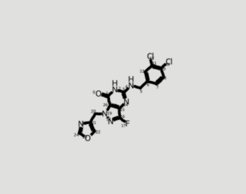 O=c1[nH]c(NCc2ccc(Cl)c(Cl)c2)nc2c(F)nn(Cc3cocn3)c12